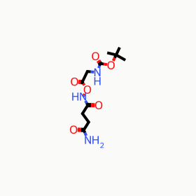 CC(C)(C)OC(=O)NCC(=O)ONC(=O)CCC(N)=O